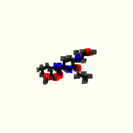 COC(=O)C(CC(C)C)NC(=O)c1ccc(N2CC(OC)C2)c(OCC2CC2)n1